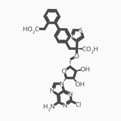 Nc1nc(Cl)nc2c1ncn2[C@@H]1O[C@H](CO[C@@](Cc2ccc(-c3ccccc3CC(=O)O)cc2)(C(=O)O)c2cscn2)[C@@H](O)[C@H]1O